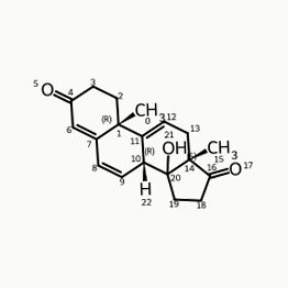 C[C@]12CCC(=O)C=C1C=C[C@@H]1C2=CC[C@]2(C)C(=O)CCC12O